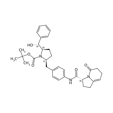 CC(C)(C)OC(=O)N1[C@H](Cc2ccc(NC(=O)[C@H]3CCC4=CCCC(=O)N43)cc2)CC[C@@H]1[C@H](O)c1ccccc1